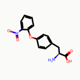 N[C@@H](Cc1ccc(Oc2ccccc2[N+](=O)[O-])cc1)C(=O)O